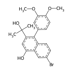 COc1ccc(-c2c(C(C)(C)O)cc(O)c3cc(Br)ccc23)cc1OC